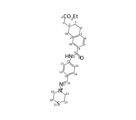 CCOC(=O)CC1CCc2ccc(C(=O)Nc3ccc(C=NN4CCSCC4)cc3)cc2C1